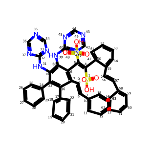 O=S(=O)(O)C(=C(c1c(C=Cc2ccccc2)c(-c2ccccc2)c(-c2ccccc2)c(Nc2ncncn2)c1Nc1ncncn1)S(=O)(=O)O)c1ccccc1C=Cc1ccccc1